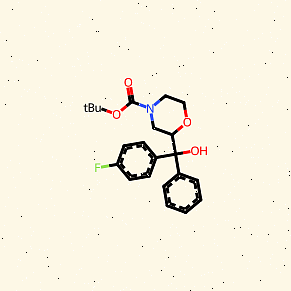 CC(C)(C)OC(=O)N1CCOC(C(O)(c2ccccc2)c2ccc(F)cc2)C1